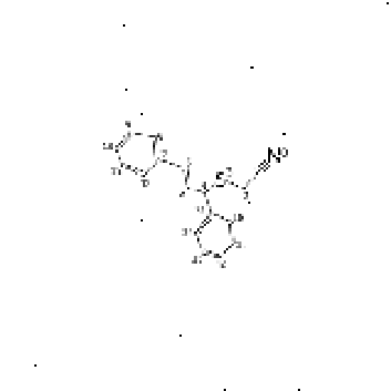 N#CCSC(C=Cc1ccccc1)c1ccccc1